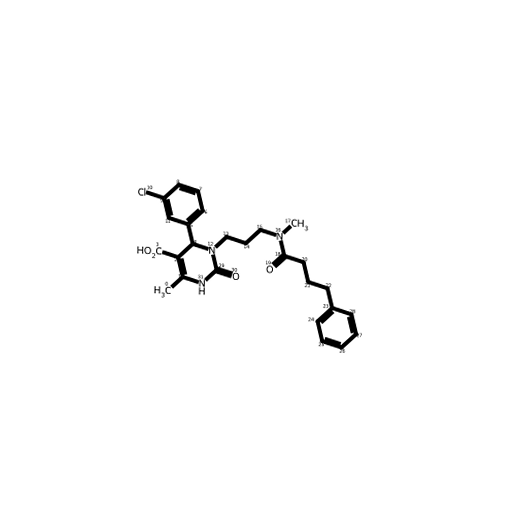 CC1=C(C(=O)O)C(c2cccc(Cl)c2)N(CCCN(C)C(=O)CCCc2ccccc2)C(=O)N1